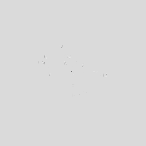 COc1cc(OC)c(F)c(N2Cc3cnc4[nH]nc(C#N)c4c3N(C)C2=O)c1F